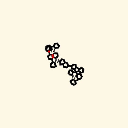 c1ccc(-c2ccc(-c3ccccc3N(c3ccc(-n4c5ccccc5c5ccccc54)cc3)c3ccc4cc(-c5ccc6c(c5)C5(c7ccccc7-6)c6ccccc6-n6c7ccccc7c7cccc5c76)ccc4c3)cc2)cc1